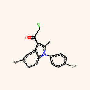 Cc1c(C(=O)CCl)c2cc([N+](=O)[O-])ccc2n1-c1ccc(C#N)cc1